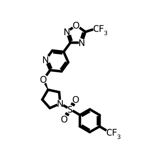 O=S(=O)(c1ccc(C(F)(F)F)cc1)N1CC[C@@H](Oc2ccc(-c3noc(C(F)(F)F)n3)cn2)C1